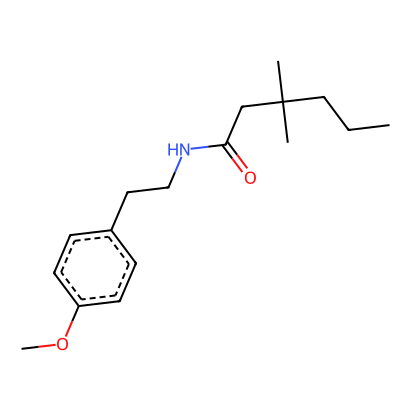 CCCC(C)(C)CC(=O)NCCc1ccc(OC)cc1